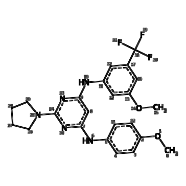 COc1ccc(Nc2cc(Nc3cc(OC)cc(C(F)(F)F)c3)nc(N3CCCC3)n2)cc1